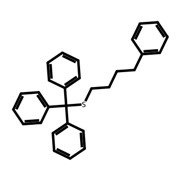 c1ccc(CCCCSC(c2ccccc2)(c2ccccc2)c2ccccc2)cc1